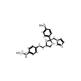 COc1ccc([C@]2(Cn3ccnc3)OC[C@@H](CSc3ccc(NC(=O)O)cc3)O2)cc1